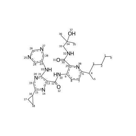 CCCCC(C)c1ccc(NC(=O)c2nc(C3CC3)cnc2Nc2cncnc2)c(C(=O)NCC(C)(C)O)n1